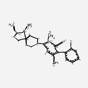 C[C@@H]1OCC2(CCN(c3nc(N)c(-c4ccccc4Cl)c(=O)n3C)CC2)[C@@H]1N